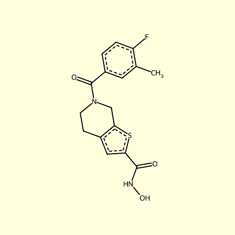 Cc1cc(C(=O)N2CCc3cc(C(=O)NO)sc3C2)ccc1F